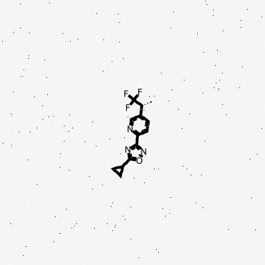 C[C@H](c1ccc(-c2noc(C3CC3)n2)nc1)C(F)(F)F